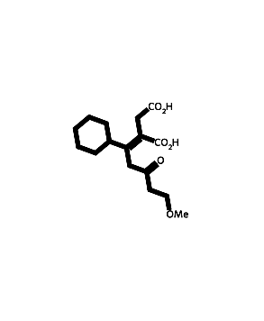 COCCC(=O)CC(=C(CC(=O)O)C(=O)O)C1CCCCC1